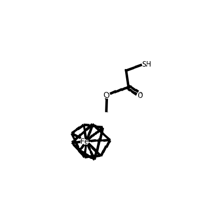 COC(=O)CS.[CH]12[CH]3[CH]4[CH]5[CH]1[Fe]23451678[CH]2[CH]1[CH]6[CH]7[CH]28